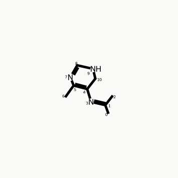 CC(C)=NC1=C(C)N=CNC1